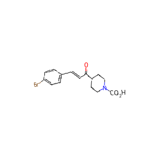 O=C(C=Cc1ccc(Br)cc1)C1CCN(C(=O)O)CC1